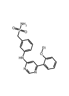 CCOc1ccccc1-c1cc(Nc2cccc(CS(N)(=O)=O)c2)ncn1